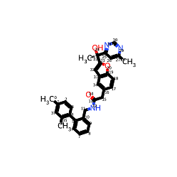 Cc1ccc(-c2ccccc2CNC(=O)Cc2ccc3oc([C@@](C)(O)c4cc(C)ncn4)cc3c2)c(C)c1